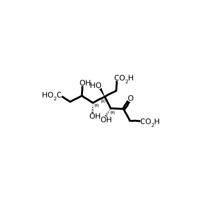 O=C(O)CC(=O)[C@H](O)[C@@](O)(CC(=O)O)[C@H](O)C(O)CC(=O)O